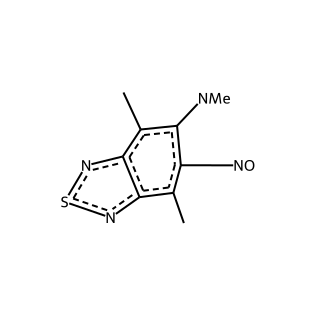 CNc1c(N=O)c(C)c2nsnc2c1C